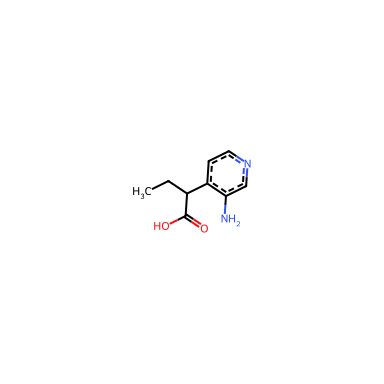 CCC(C(=O)O)c1ccncc1N